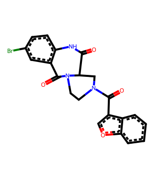 O=C1Nc2ccc(Br)cc2C(=O)N2CCN(C(=O)c3coc4ccccc34)CC12